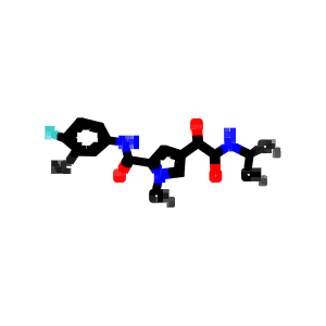 C[C@@H](NC(=O)C(=O)c1cc(C(=O)Nc2ccc(F)c(C#N)c2)n(C)c1)C(F)(F)F